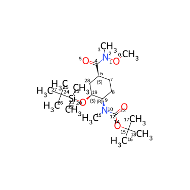 CON(C)C(=O)[C@H]1CC[C@@H](N(C)C(=O)OC(C)(C)C)[C@@H](O[Si](C)(C)C(C)(C)C)C1